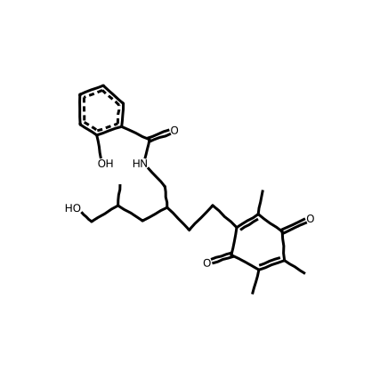 CC1=C(C)C(=O)C(CCC(CNC(=O)c2ccccc2O)CC(C)CO)=C(C)C1=O